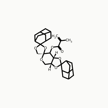 C=C(C)C(=O)OC1[C@@H]2OC3(O[C@@H]2CO[C@]12COC1(O2)C2CC4CC(C2)CC1C4)C1CC2CC(C1)CC3C2